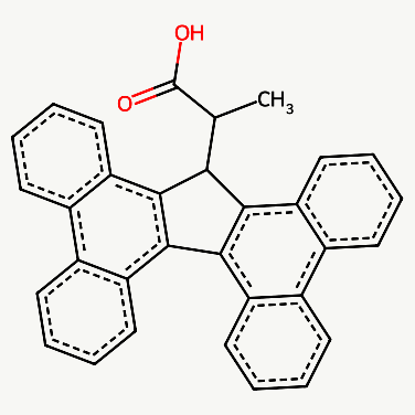 CC(C(=O)O)C1c2c(c3ccccc3c3ccccc23)-c2c1c1ccccc1c1ccccc21